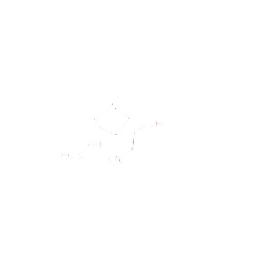 C1CCNC1.NCCO.O=S(=O)(O)O